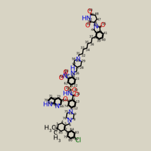 CC1(C)CCC(CN2CCN(c3ccc(C(=O)NS(=O)(=O)c4ccc(NCC5CCN(CCCCCCCc6cccc7c6CN(C6CCC(=O)NC6=O)C7=O)CC5)c([N+](=O)[O-])c4)c(Oc4cnc5[nH]ccc5c4)c3)CC2)=C(c2ccc(Cl)cc2)C1